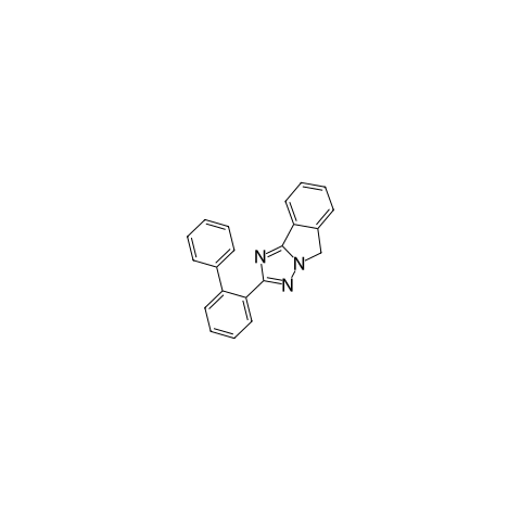 c1ccc(-c2ccccc2-c2nc3n(n2)Cc2ccccc2-3)cc1